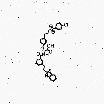 O=C(NC(Oc1ccc(CCCS(=O)(=O)c2ccc(Cl)cc2)cc1)C(=O)O)c1cccc(CCc2nc3ccccc3s2)c1